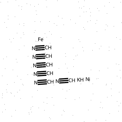 C#N.C#N.C#N.C#N.C#N.C#N.[Fe].[KH].[Ni]